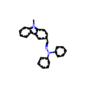 Cn1c2ccccc2c2cc(C=NN(c3ccccc3)c3ccccc3)ccc21